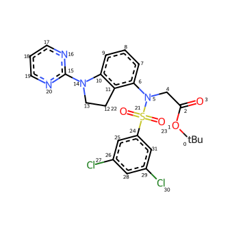 CC(C)(C)OC(=O)CN(c1cccc2c1CCN2c1ncccn1)S(=O)(=O)c1cc(Cl)cc(Cl)c1